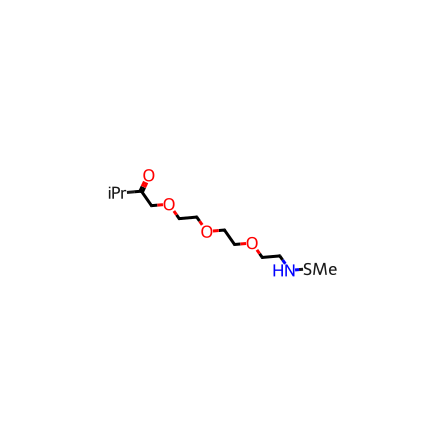 CSNCCOCCOCCOCC(=O)C(C)C